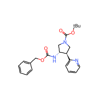 CC(C)(C)OC(=O)N1C[C@@H](NC(=O)OCc2ccccc2)[C@H](c2ccccn2)C1